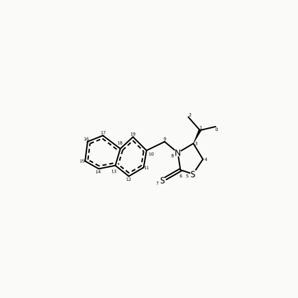 CC(C)[C@H]1CSC(=S)N1Cc1ccc2ccccc2c1